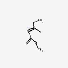 C=C(/C=C(\C)CN)OC(F)(F)F